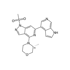 C[C@@H]1COCCN1c1nc(-c2cncc3[nH]ccc23)cc2c1cnn2S(C)(=O)=O